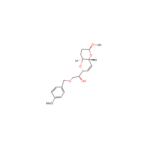 COc1ccc(COC[C@H](O)[C@H]2C=C[C@H]3O[C@H](OC(C)C)CC[C@@H]3O2)cc1